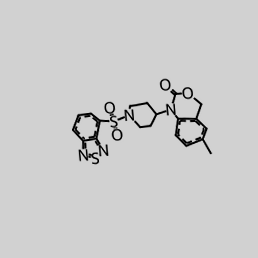 Cc1ccc2c(c1)COC(=O)N2C1CCN(S(=O)(=O)c2cccc3nsnc23)CC1